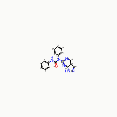 O=C(Nc1ccccc1)N(c1ccccc1)c1ncc2cn[nH]c2n1